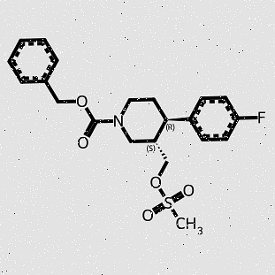 CS(=O)(=O)OC[C@@H]1CN(C(=O)OCc2ccccc2)CC[C@H]1c1ccc(F)cc1